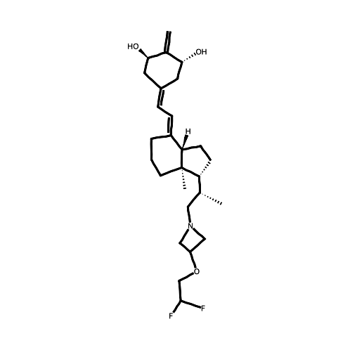 C=C1[C@H](O)CC(=C/C=C2\CCC[C@]3(C)[C@@H]([C@H](C)CN4CC(OCC(F)F)C4)CC[C@@H]23)C[C@H]1O